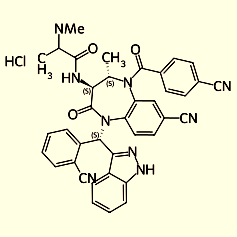 CNC(C)C(=O)N[C@@H]1C(=O)N([C@@H](c2ccccc2C#N)c2n[nH]c3ccccc23)c2ccc(C#N)cc2N(C(=O)c2ccc(C#N)cc2)[C@H]1C.Cl